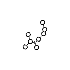 c1ccc(-c2cc(-c3ccccc3)cc(N(c3ccccc3)c3ccc(-c4ccc5ccc(-c6ccccc6)cc5c4)cc3)c2)cc1